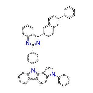 c1ccc(-c2ccc3cc(-c4nc(-c5ccc(-n6c7ccccc7c7ccc8c(ccn8-c8ccccc8)c76)cc5)nc5ccccc45)ccc3c2)cc1